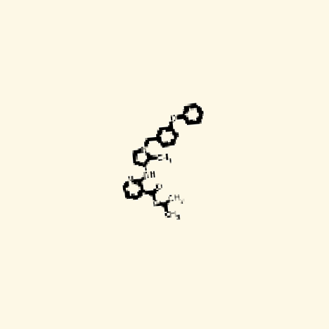 CC(C)OC(=O)c1cccnc1N[C@@H]1CCN(Cc2cccc(Oc3ccccc3)c2)C1C